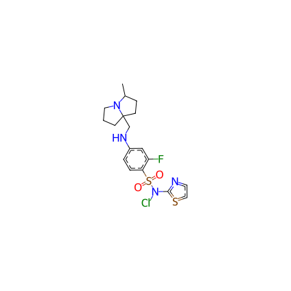 CC1CCC2(CNc3ccc(S(=O)(=O)N(Cl)c4nccs4)c(F)c3)CCCN12